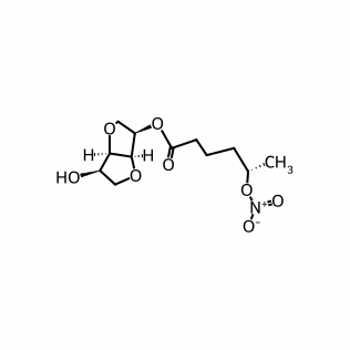 C[C@@H](CCCC(=O)O[C@@H]1CO[C@H]2[C@@H]1OC[C@H]2O)O[N+](=O)[O-]